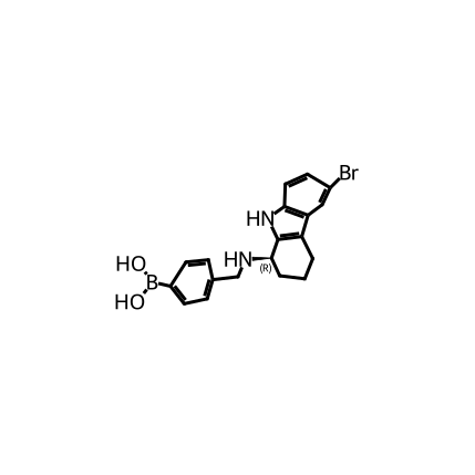 OB(O)c1ccc(CN[C@@H]2CCCc3c2[nH]c2ccc(Br)cc32)cc1